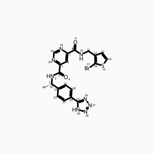 C[C@H](NC(=O)c1cc(C(=O)NCc2ccsc2Br)ncn1)c1ccc(-c2nnn[nH]2)cc1